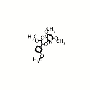 COC(=O)C(Oc1nc(OC)cc(OC)n1)c1cccc(OC)c1